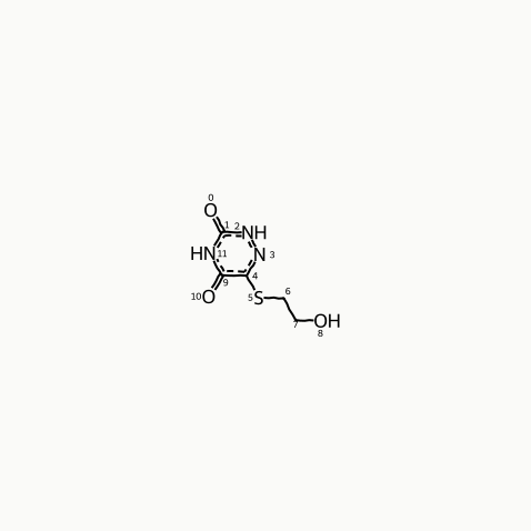 O=c1[nH]nc(SCCO)c(=O)[nH]1